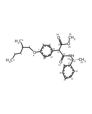 CCCC(C)COc1ccc(C(C(=O)N[C@H](C)c2ccccc2)C(=O)OC)cc1